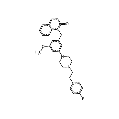 COc1cc(Cn2c(=O)ccc3ccccc32)cc(N2CCN(CCc3ccc(F)cc3)CC2)c1